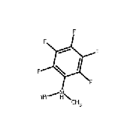 CCC[SiH](C)c1c(F)c(F)c(F)c(F)c1F